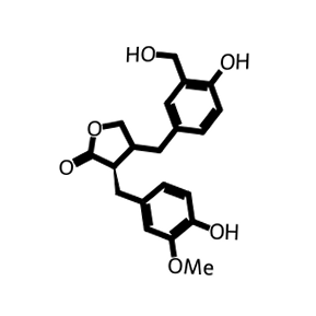 COc1cc(C[C@H]2C(=O)OCC2Cc2ccc(O)c(CO)c2)ccc1O